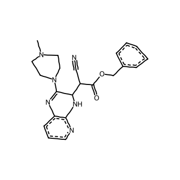 CN1CCN(C2=Nc3cccnc3NC2C(C#N)C(=O)OCc2ccccc2)CC1